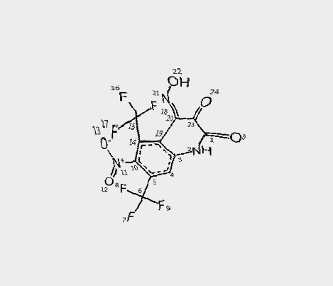 O=C1Nc2cc(C(F)(F)F)c([N+](=O)[O-])c(C(F)(F)F)c2/C(=N/O)C1=O